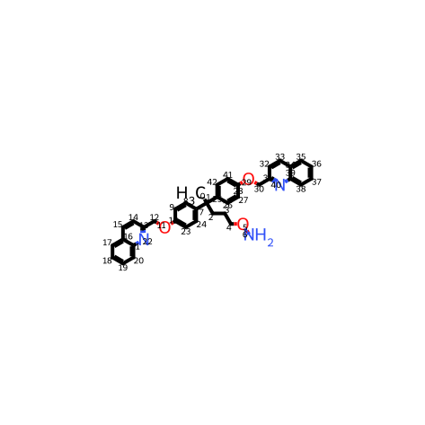 CC(CCCON)(c1ccc(OCc2ccc3ccccc3n2)cc1)c1ccc(OCc2ccc3ccccc3n2)cc1